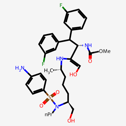 CCCN([C@H](CO)CCC[C@H](C)N/C(=C\O)[C@@H](NC(=O)OC)C(c1cccc(F)c1)c1cccc(F)c1)S(=O)(=O)c1ccc(N)cc1